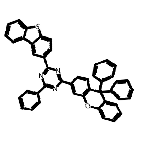 c1ccc(-c2nc(-c3ccc4c(c3)Oc3ccccc3C4(c3ccccc3)c3ccccc3)nc(-c3ccc4sc5ccccc5c4c3)n2)cc1